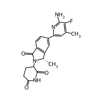 Cc1cc(-c2ccc3c(c2)[C@H](C)N(C2CCC(=O)NC2=O)C3=O)nc(N)c1F